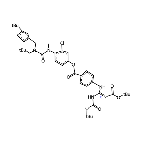 CN(C(=O)N(Cc1csc(C(C)(C)C)c1)CC(C)(C)C)c1ccc(OC(=O)c2ccc(N/C(=N\C(=O)OC(C)(C)C)NC(=O)OC(C)(C)C)cc2)cc1Cl